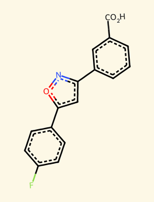 O=C(O)c1cccc(-c2cc(-c3ccc(F)cc3)on2)c1